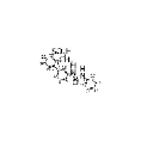 Cc1c(-c2cccc(NC(=O)Nc3ccccc3)c2)cccc1S(=O)(=O)O